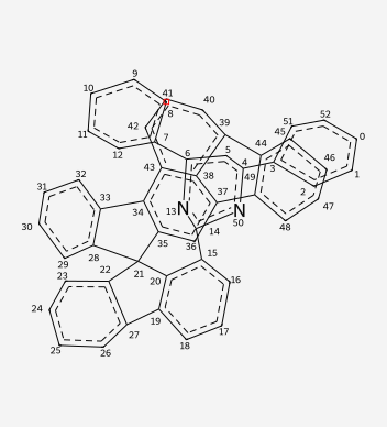 c1ccc(-c2cc(-c3ccccc3)nc(-c3cccc4c3C3(c5ccccc5-4)c4ccccc4-c4c3cc3c5c(cccc45)-c4ccccc4-3)n2)cc1